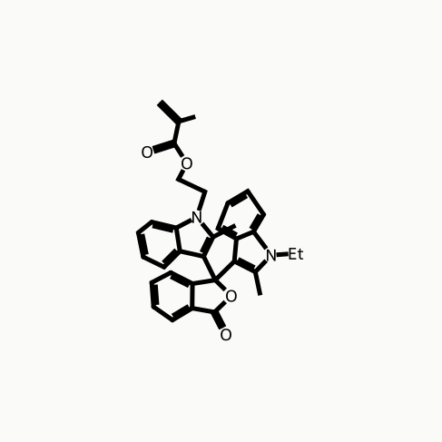 C=C(C)C(=O)OCCn1c(C)c(C2(c3c(C)n(CC)c4ccccc34)OC(=O)c3ccccc32)c2ccccc21